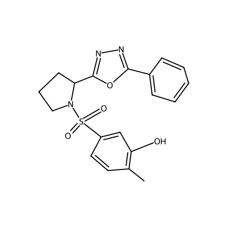 Cc1ccc(S(=O)(=O)N2CCCC2c2nnc(-c3ccccc3)o2)cc1O